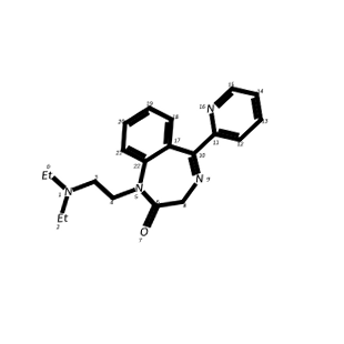 CCN(CC)CCN1C(=O)CN=C(c2ccccn2)c2ccccc21